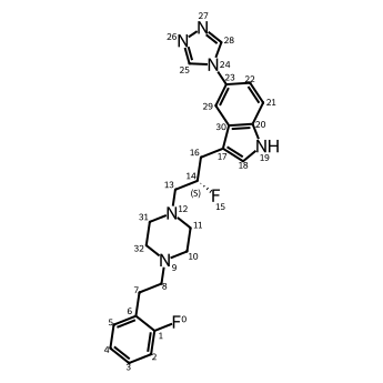 Fc1ccccc1CCN1CCN(C[C@@H](F)Cc2c[nH]c3ccc(-n4cnnc4)cc23)CC1